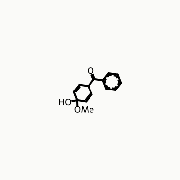 COC1(O)C=CC(C(=O)c2ccccc2)C=C1